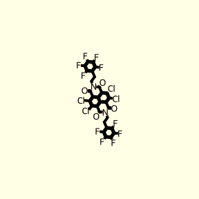 O=C1c2c(Cl)c(Cl)c3c4c(c(Cl)c(Cl)c(c24)C(=O)N1CCc1c(F)c(F)c(F)c(F)c1F)C(=O)N(CCc1c(F)c(F)c(F)c(F)c1F)C3=O